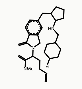 C=CCCC(C(=C)NC)N1Cc2cc(CC3CCCC3NCC3CCC(CC)CC3)ccc2C1=C